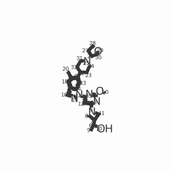 COc1nc(N2CC(C(C)O)C2)cc(-n2ncc3cc(C)c(C4CCN(C5CCOC5)CC4)cc32)n1